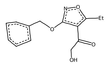 CCc1onc(OCc2ccccc2)c1C(=O)CO